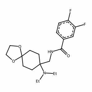 CCN(CC)C1(CNC(=O)c2ccc(F)c(F)c2)CCC2(CC1)OCCO2